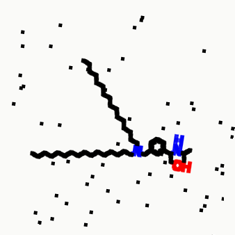 CCCCCCCCCCCCCCCCN(CCCCCCCCCCCCCCCC)Cc1cccc(C(CO)NC(C)C)c1